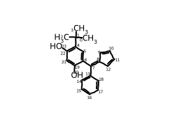 CC(C)(C)c1cc(C(=C2C=CC=C2)c2ccccc2)c(O)cc1O